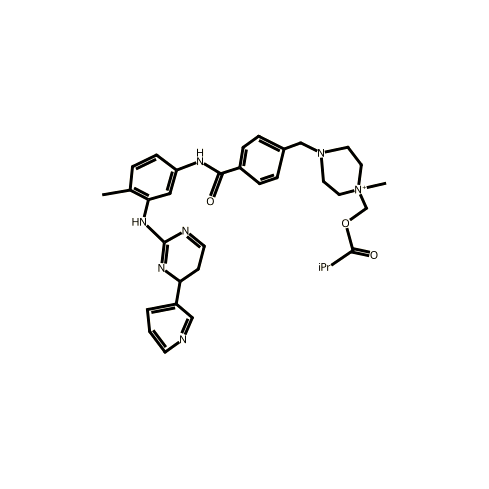 Cc1ccc(NC(=O)c2ccc(CN3CC[N+](C)(COC(=O)C(C)C)CC3)cc2)cc1NC1=NC(c2cccnc2)CC=N1